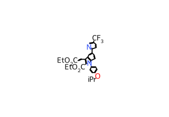 CCOC(=O)C=Cc1c(C(=O)OCC)n(-c2ccc(OC(C)C)cc2)c2ccc(-c3ccc(C(F)(F)F)cn3)cc12